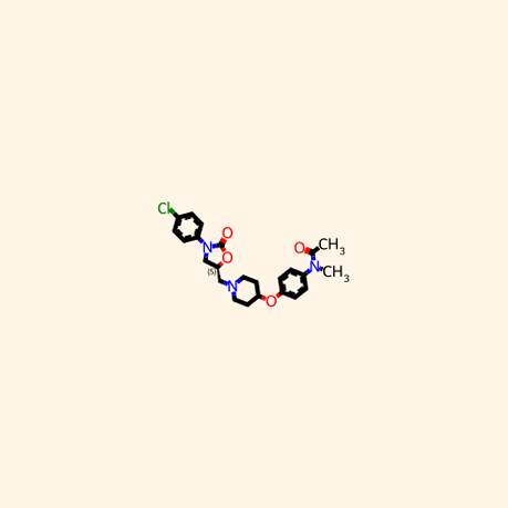 CC(=O)N(C)c1ccc(OC2CCN(C[C@H]3CN(c4ccc(Cl)cc4)C(=O)O3)CC2)cc1